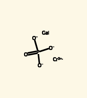 O=P([O-])([O-])[O-].[Cr+3].[Ga]